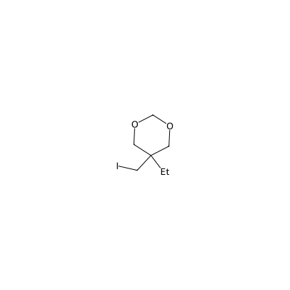 CCC1(CI)COCOC1